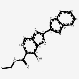 CCOC(=O)c1ncc2nc(-c3cc4ccccc4s3)sc2c1O